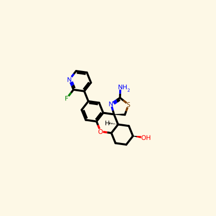 NC1=N[C@@]2(CS1)c1cc(-c3cccnc3F)ccc1OC1CC[C@H](O)C[C@@H]12